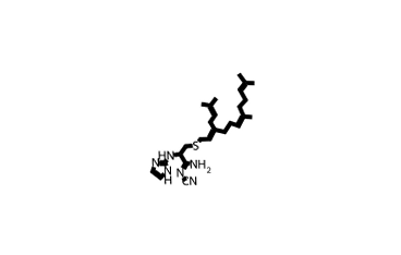 CC(C)=CCCC(C)=CCCC(=CCSCC(Nc1ncc[nH]1)C(N)=NC#N)CC=C(C)C